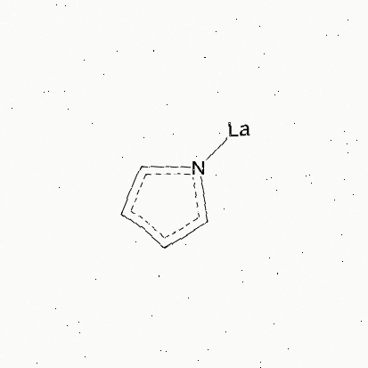 [La][n]1cccc1